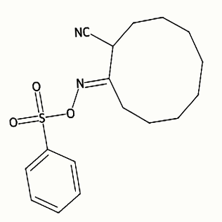 N#CC1CCCCCCCCC1=NOS(=O)(=O)c1ccccc1